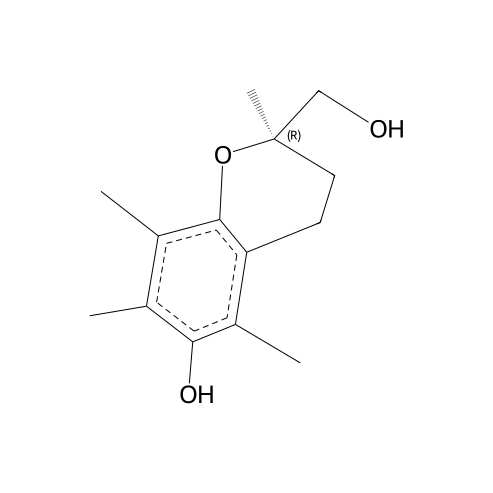 Cc1c(C)c2c(c(C)c1O)CC[C@](C)(CO)O2